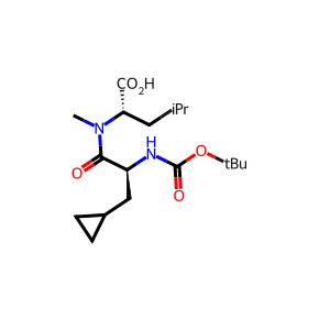 CC(C)C[C@@H](C(=O)O)N(C)C(=O)[C@H](CC1CC1)NC(=O)OC(C)(C)C